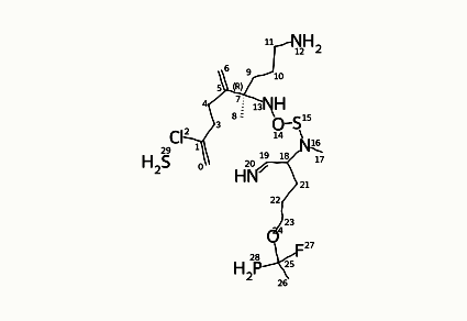 C=C(Cl)CCC(=C)[C@@](C)(CCCN)NOSN(C)C(C=N)CCCOC(C)(F)P.S